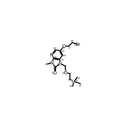 Cn1c(=O)n(COCC[Si](C)(C)C)c2cc(OCCBr)cnc21